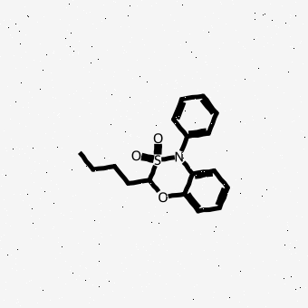 CCCCC1Oc2ccccc2N(c2ccccc2)S1(=O)=O